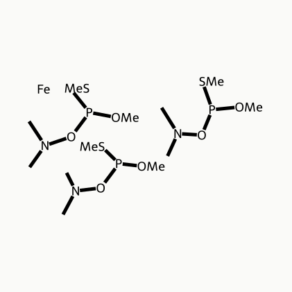 COP(ON(C)C)SC.COP(ON(C)C)SC.COP(ON(C)C)SC.[Fe]